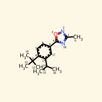 Cc1noc(-c2ccc(C(C)(C)C)c(C(C)C)c2)n1